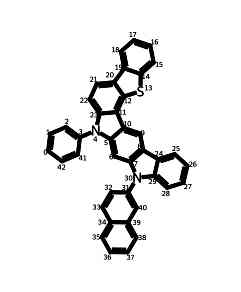 c1ccc(-n2c3cc4c(cc3c3c5sc6ccccc6c5ccc32)c2ccccc2n4-c2ccc3ccccc3c2)cc1